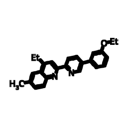 CCOc1cccc(-c2ccc(-c3cc(CC)c4cc(C)ccc4n3)nc2)c1